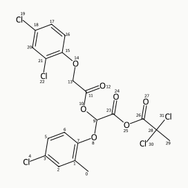 Cc1cc(Cl)ccc1OC(OC(=O)COc1ccc(Cl)cc1Cl)C(=O)OC(=O)C(C)(Cl)Cl